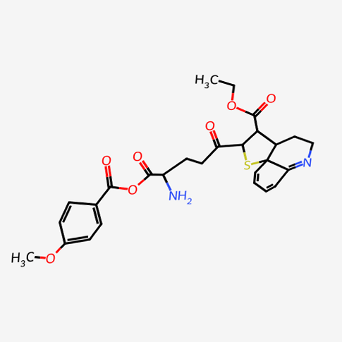 CCOC(=O)C1C(C(=O)CCC(N)C(=O)OC(=O)c2ccc(OC)cc2)SC23C=CC=CC2=NCCC13